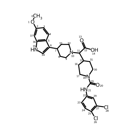 COc1ccc2c(C3CCN(C(C(=O)O)C4CCN(C(=O)Nc5ccc(Cl)c(Cl)c5)CC4)CC3)c[nH]c2c1